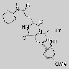 COc1ccc2c3c([nH]c2c1)C(CC(C)C)N1C(=O)C(CCC(=O)N(C)C2CCCCC2)NC(=O)C1C3